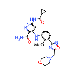 COc1c(Nc2cc(NC(=O)C3CC3)nnc2C(N)=O)cccc1-c1noc(CN2CCOCC2)n1